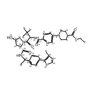 CCOC(=O)C1CCN(c2cnc(C(=O)NC(C(=O)N3C[C@H](O)C[C@H]3C(=O)NC(C)c3ccc(-c4scnc4C)cc3)C(C)(C)C)nc2)CC1